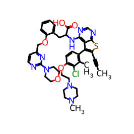 CC#Cc1sc2ncnc(NC(Cc3ccccc3OCc3ccnc(N4CCOCC4)n3)C(=O)O)c2c1-c1ccc(OCCN2CCN(C)CC2)c(Cl)c1C